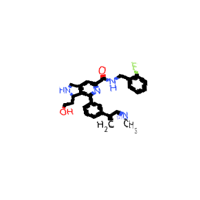 C=C(/C=N\C)c1cccc(-c2nc(C(=O)NCc3ccccc3F)cc3c2C(CCO)NC3)c1